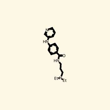 CCN(CC)CCCNC(=O)c1ccc(Nc2cccnc2)cc1